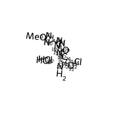 COc1ncc(-c2nnc3n2CCN([C@H]2CC[C@](CN)(c4cccc(Cl)c4)CC2)C3=O)cn1.Cl.Cl